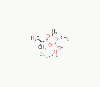 C=C(C)C(=O)OC(C)N(C)C.ClCC1CO1